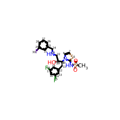 CS(=O)(=O)NC1SC=CN1[C@@H](Cc1cc(F)cc(F)c1)[C@H](O)CNCc1cccc(I)c1